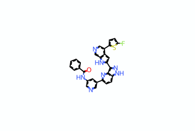 O=C(Nc1cncc(-c2ccc3[nH]nc(-c4cc5c(-c6ccc(F)s6)cncc5[nH]4)c3n2)c1)c1ccccc1